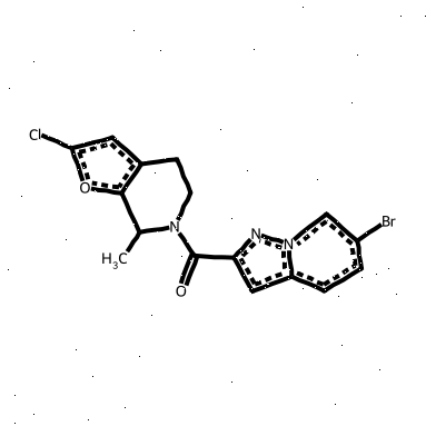 CC1c2oc(Cl)cc2CCN1C(=O)c1cc2ccc(Br)cn2n1